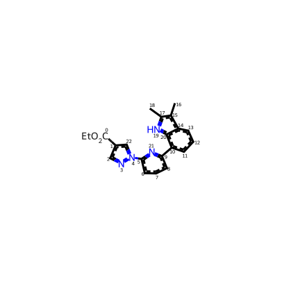 CCOC(=O)c1cnn(-c2cccc(-c3cccc4c(C)c(C)[nH]c34)n2)c1